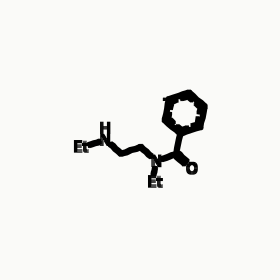 CCNCCN(CC)C(=O)c1c[c]ccc1